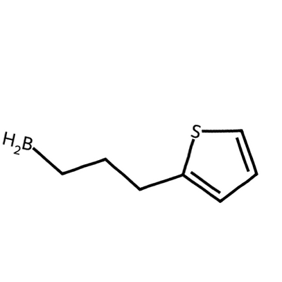 BCCCc1cccs1